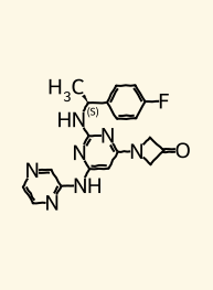 C[C@H](Nc1nc(Nc2cnccn2)cc(N2CC(=O)C2)n1)c1ccc(F)cc1